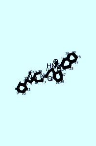 CN(C)C1(CCc2ccccc2)CCN(C(=O)CC(NS(=O)(=O)c2ccc3ccccc3c2)c2ccccc2)CC1